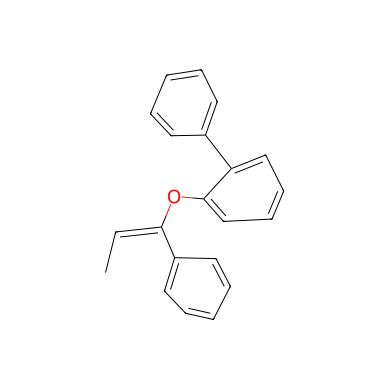 CC=C(Oc1ccccc1-c1ccccc1)c1ccccc1